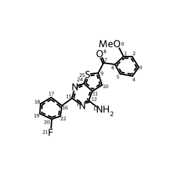 COc1ccccc1C(=O)c1cc2c(N)nc(-c3cccc(F)c3)nc2s1